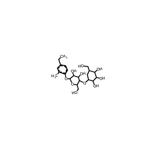 CCc1ccc(OC2OC(CO)C(OC3CC(CO)C(O)C(O)C3O)C(O)C2O)c(C)c1